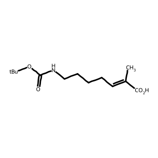 CC(=CCCCCNC(=O)OC(C)(C)C)C(=O)O